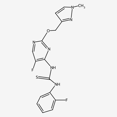 Cn1ccc(COc2ncc(F)c(NC(=S)Nc3ccccc3F)n2)n1